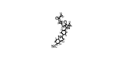 N#Cc1ccc2nc(-c3ccc(C4=NC5(CC5)C(=O)N4CC4CN(C(=O)C5CC5)C4)cc3)ccc2c1